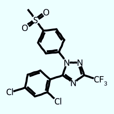 CS(=O)(=O)c1ccc(-n2nc(C(F)(F)F)nc2-c2ccc(Cl)cc2Cl)cc1